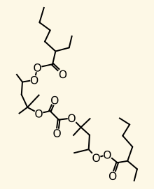 CCCCC(CC)C(=O)OOC(C)CC(C)(C)OC(=O)C(=O)OC(C)(C)CC(C)OOC(=O)C(CC)CCCC